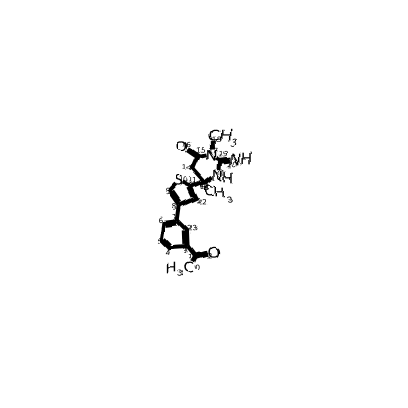 CC(=O)c1cccc(-c2csc([C@]3(C)CC(=O)N(C)C(=N)N3)c2)c1